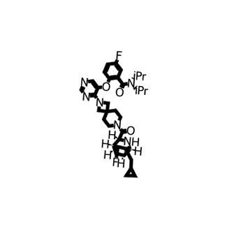 CC(C)N(C(=O)c1cc(F)ccc1Oc1cncnc1N1CC2(CCN(C(=O)[C@H]3N[C@H]4CC[C@@H]3[C@H](F)[C@@H]4CC3CC3)CC2)C1)C(C)C